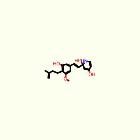 C=C(C)CCc1c(O)cc(C=CC2(O)C=C(O)C=CN2)cc1OC